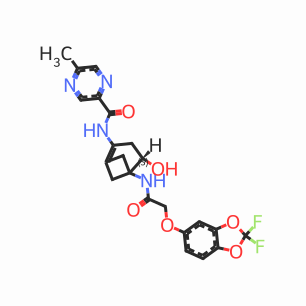 Cc1cnc(C(=O)NC2=C3CC(NC(=O)COc4ccc5c(c4)OC(F)(F)O5)(C3)[C@@H](O)C2)cn1